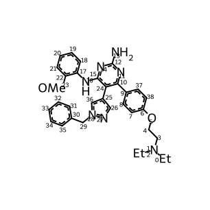 CCN(CC)CCOc1ccc(-c2nc(N)nc(Nc3ccccc3OC)c2-c2cnn(Cc3ccccc3)c2)cc1